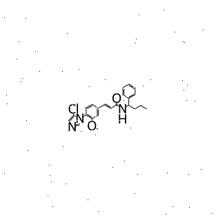 CCCC(NC(=O)/C=C/c1ccc(-n2cncc2Cl)c(OC)c1)c1ccccc1